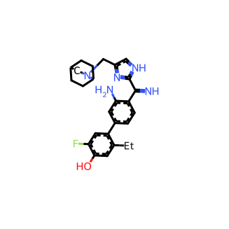 CCc1cc(O)c(F)cc1-c1ccc(C(=N)c2nc(CN3CC4CCC3CC4)c[nH]2)c(N)c1